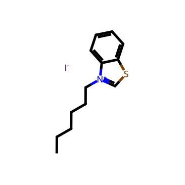 CCCCCC[n+]1csc2ccccc21.[I-]